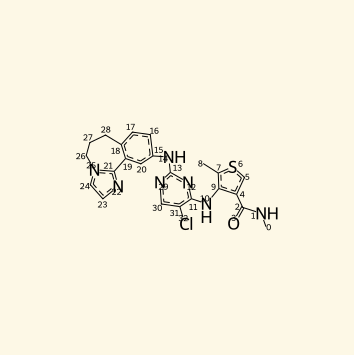 CNC(=O)c1csc(C)c1Nc1nc(Nc2ccc3c(c2)-c2nccn2CCC3)ncc1Cl